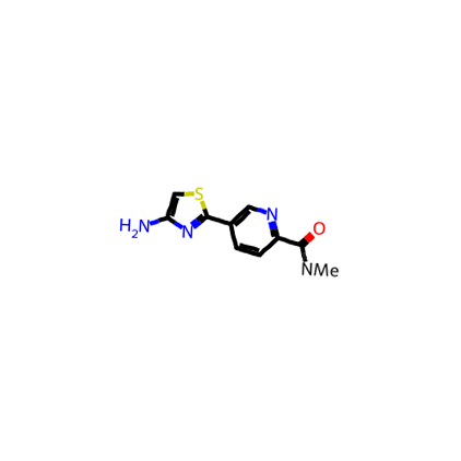 CNC(=O)c1ccc(-c2nc(N)cs2)cn1